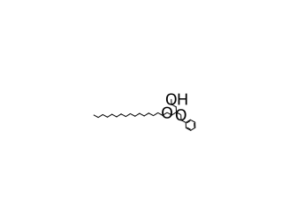 CCCCCCCCCCCCCCCCOCC(CCO)OCc1ccccc1